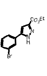 CCOC(=O)c1cc(-c2cccc(Br)c2)[nH]n1